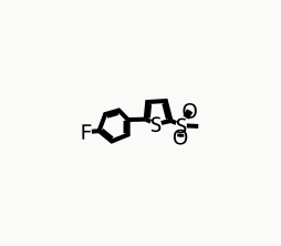 CS(=O)(=O)c1ccc(-c2ccc(F)cc2)s1